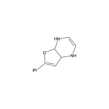 CC(C)C1=CC2NC=CNC2O1